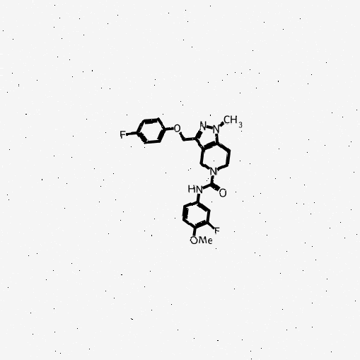 COc1ccc(NC(=O)N2CCc3c(c(COc4ccc(F)cc4)nn3C)C2)cc1F